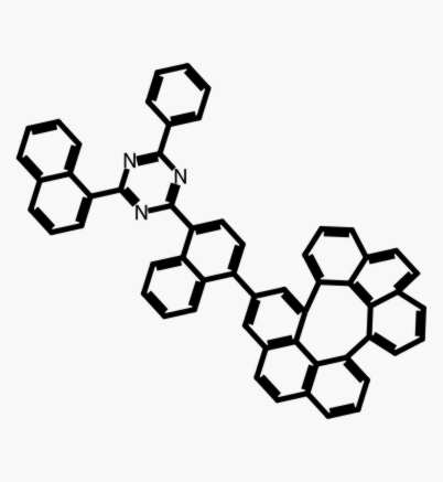 c1ccc(-c2nc(-c3cccc4ccccc34)nc(-c3ccc(-c4cc5ccc6cccc7c8cccc9ccc%10cccc(c(c4)c5c67)c%10c98)c4ccccc34)n2)cc1